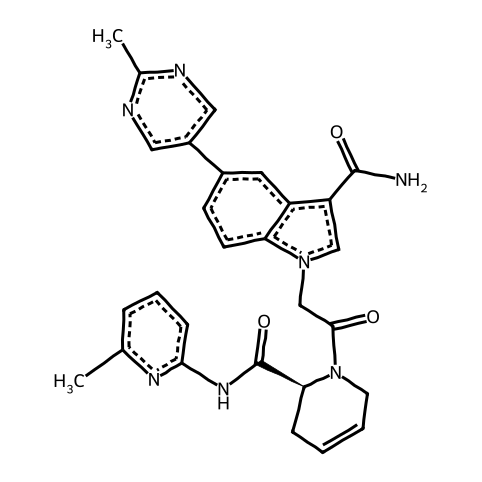 Cc1cccc(NC(=O)[C@@H]2CC=CCN2C(=O)Cn2cc(C(N)=O)c3cc(-c4cnc(C)nc4)ccc32)n1